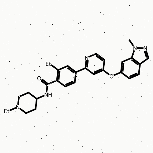 CCc1cc(-c2cc(Oc3ccc4cnn(C)c4c3)ccn2)ccc1C(=O)NC1CCN(CC)CC1